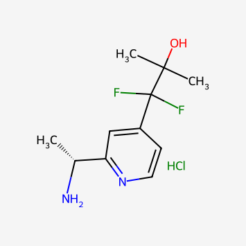 C[C@@H](N)c1cc(C(F)(F)C(C)(C)O)ccn1.Cl